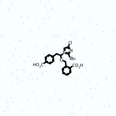 CCC(C)c1nc(Cl)cn1C(Cc1ccc(C(=O)O)cc1)OCc1ccccc1C(=O)O